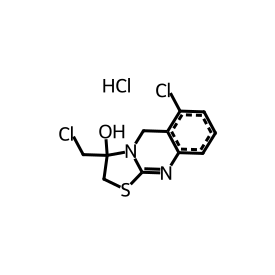 Cl.OC1(CCl)CSC2=Nc3cccc(Cl)c3CN21